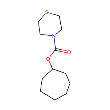 O=C(OC1CCCCCC1)N1CCSCC1